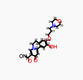 O=NC(=O)c1cn2c(cc1=O)-c1cc(O)c(OCCCN3CCOCC3)cc1CC2